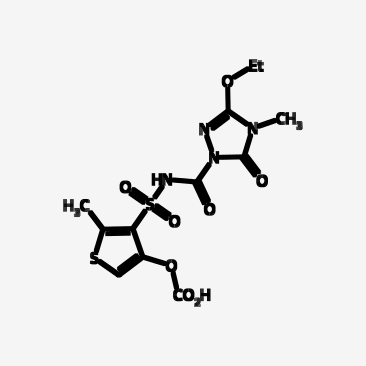 CCOc1nn(C(=O)NS(=O)(=O)c2c(OC(=O)O)csc2C)c(=O)n1C